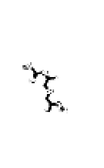 CCCCC(=O)OC(C)COCC(C)OCC